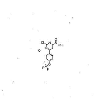 O=C(O)c1cc(-c2ccc(OC(F)(F)F)cc2)nc(Cl)n1.[K]